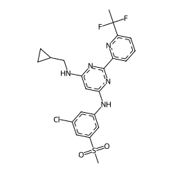 CC(F)(F)c1cccc(-c2nc(NCC3CC3)cc(Nc3cc(Cl)cc(S(C)(=O)=O)c3)n2)n1